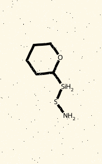 NS[SiH2]C1CCCCO1